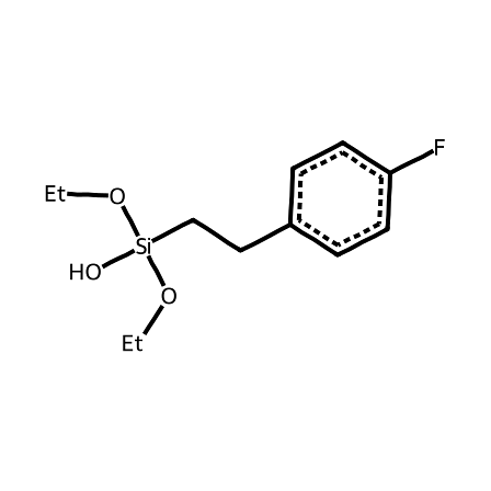 CCO[Si](O)(CCc1ccc(F)cc1)OCC